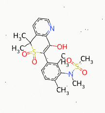 Cc1ccc(C2=C(O)c3ncccc3C(C)(C)S2(=O)=O)c(C)c1N(C)S(C)(=O)=O